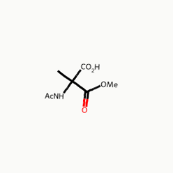 COC(=O)C(C)(NC(C)=O)C(=O)O